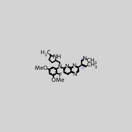 C=C1CCC(CN(c2ccc3ncc(C(/C=N\C)=C/C)nc3n2)c2cc(OC)cc(OC)c2F)N1